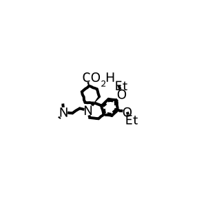 CCOc1cc2c(cc1OCC)[C@]1(CC[C@H](C(=O)O)CC1)N(CCN(C)C)CC2